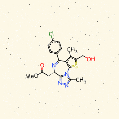 COC(=O)C[C@@H]1N=C(c2ccc(Cl)cc2)c2c(sc(CO)c2C)-n2c(C)nnc21